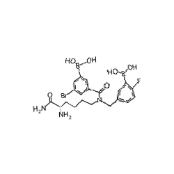 NC(=O)[C@@H](N)CCCCN(Cc1ccc(F)c(B(O)O)c1)C(=O)c1cc(Br)cc(B(O)O)c1